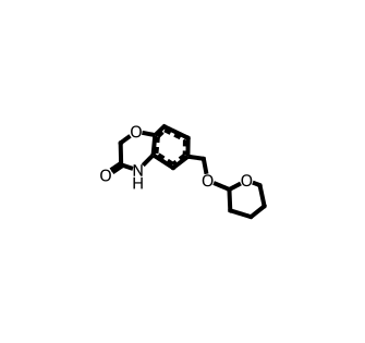 O=C1COc2ccc(COC3CCCCO3)cc2N1